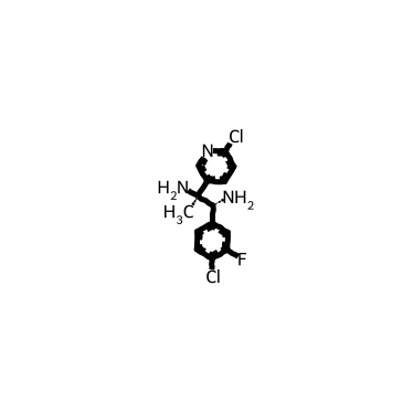 C[C@](N)(c1ccc(Cl)nc1)[C@H](N)c1ccc(Cl)c(F)c1